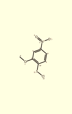 COc1cc([N+](=O)[O-])ccc1SCl